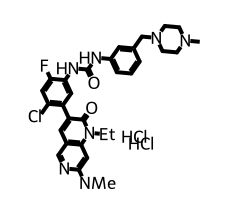 CCn1c(=O)c(-c2cc(NC(=O)Nc3cccc(CN4CCN(C)CC4)c3)c(F)cc2Cl)cc2cnc(NC)cc21.Cl.Cl